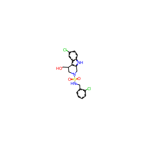 O=S(=O)(NCc1ccccc1Cl)N1Cc2[nH]c3ccc(Cl)cc3c2C(CO)C1